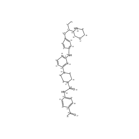 CCC(Oc1ccc(Nc2nccc(N3CCN(C(=O)Nc4ccc(C(C)=O)cc4)CC3)n2)cc1)C1COCCN1